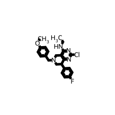 CCNc1nc(Cl)nc2c1CN(Cc1ccc(OC)cc1)CC2c1ccc(F)cc1